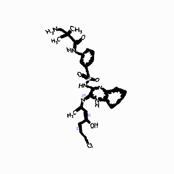 C=C(/C=C(O)\C=C/CCl)/N=c1\[nH]c2ccccc2nc1NS(=O)(=O)c1cccc(NC(=O)C(C)(C)N)c1